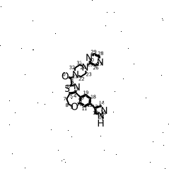 O=C(c1nc2c(s1)CCOc1cc(-c3cn[nH]c3)ccc1-2)N1CCN(c2cnccn2)CC1